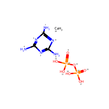 Nc1nc(N)nc(N)n1.O=P(O)(O)OP(=O)(O)O.[CaH2]